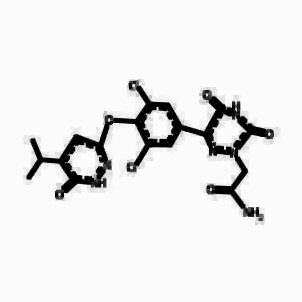 CC(C)c1cc(Oc2c(Cl)cc(-c3nn(CC(N)=O)c(=O)[nH]c3=O)cc2Cl)n[nH]c1=O